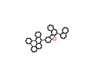 c1ccc(-c2ccccc2-c2c3ccccc3c(-c3ccc4oc5c(-c6cccc7ccccc67)cc6ccccc6c5c4c3)c3ccccc23)cc1